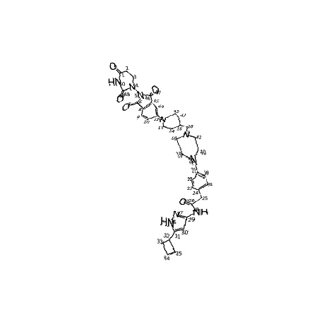 O=C1CCN(N2C(=O)c3ccc(N4CCC(CN5CCN(c6ccc(CC(=O)Nc7cc(C8CCC8)[nH]n7)cc6)CC5)CC4)cc3C2=O)C(=O)N1